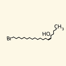 CCCC[C@@H](O)/C=C\CCCCCCCCCCCCCBr